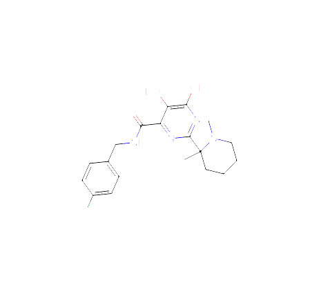 CN1CCCCC1(C)c1nc(O)c(O)c(C(=O)NCc2ccc(F)cc2)n1